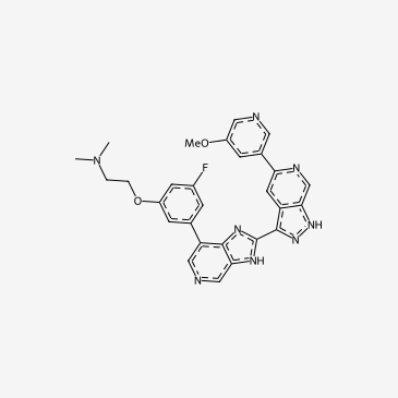 COc1cncc(-c2cc3c(-c4nc5c(-c6cc(F)cc(OCCN(C)C)c6)cncc5[nH]4)n[nH]c3cn2)c1